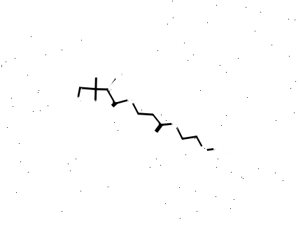 CSCCNC(=O)CCNC(=O)[C@H](O)C(C)(C)CO